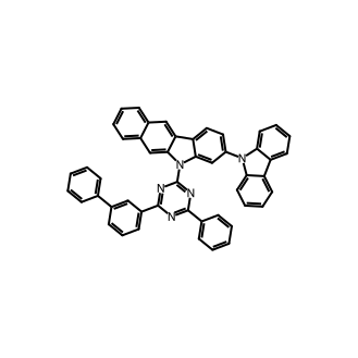 c1ccc(-c2cccc(-c3nc(-c4ccccc4)nc(-n4c5cc(-n6c7ccccc7c7ccccc76)ccc5c5cc6ccccc6cc54)n3)c2)cc1